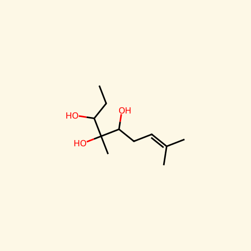 CCC(O)C(C)(O)C(O)CC=C(C)C